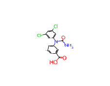 NC(=O)N(c1cc(Cl)cc(Cl)c1)c1c[c]cc(C(=O)O)c1